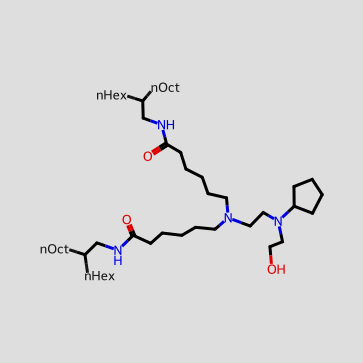 CCCCCCCCC(CCCCCC)CNC(=O)CCCCCN(CCCCCC(=O)NCC(CCCCCC)CCCCCCCC)CCN(CCO)C1CCCC1